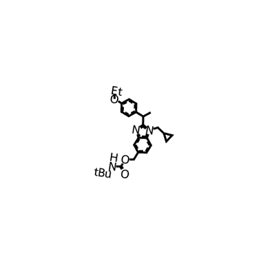 CCOc1ccc(C(C)c2nc3cc(COC(=O)NC(C)(C)C)ccc3n2CC2CC2)cc1